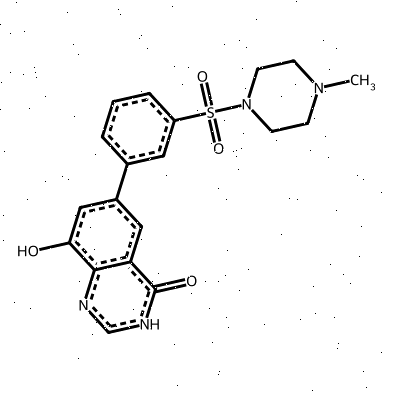 CN1CCN(S(=O)(=O)c2cccc(-c3cc(O)c4nc[nH]c(=O)c4c3)c2)CC1